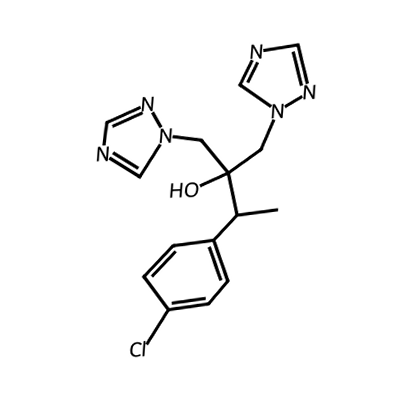 CC(c1ccc(Cl)cc1)C(O)(Cn1cncn1)Cn1cncn1